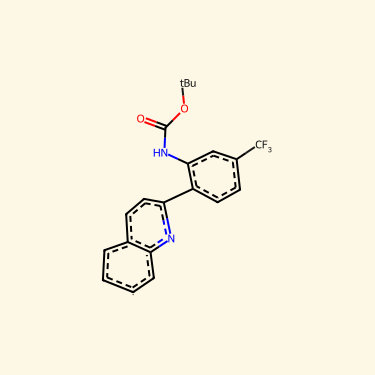 CC(C)(C)OC(=O)Nc1cc(C(F)(F)F)ccc1-c1ccc2cc[c]cc2n1